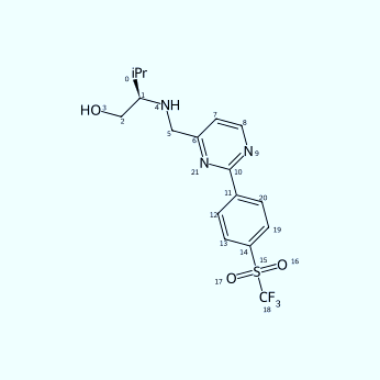 CC(C)[C@H](CO)NCc1ccnc(-c2ccc(S(=O)(=O)C(F)(F)F)cc2)n1